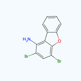 Nc1c(Br)cc(Br)c2oc3ccccc3c12